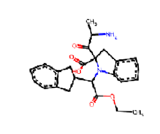 CCOC(=O)C(C1Cc2ccccc2C1)N1c2ccccc2CC1(C(=O)O)C(=O)C(C)N